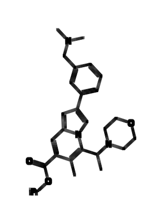 Cc1c(C(=O)OC(C)C)cc2cc(-c3cccc(CN(C)C)c3)cn2c1C(C)N1CCOCC1